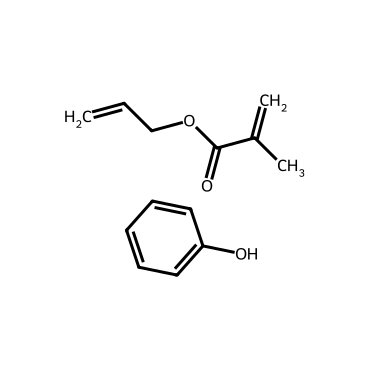 C=CCOC(=O)C(=C)C.Oc1ccccc1